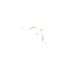 COCS(=O)(=O)COC